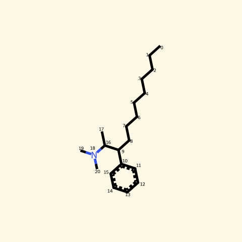 CCCCCCCCCC(c1ccccc1)C(C)N(C)C